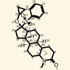 CN1C(=O)CC[C@@]2(C)C1CC[C@@H]1[C@H]2CC[C@@]2(C)[C@H]1CCC2(OC1CC1)S(=O)(=O)c1ccccc1